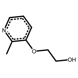 Cc1ncccc1OCCO